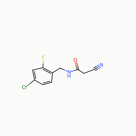 N#CCC(=O)NCc1ccc(Cl)cc1F